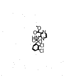 COC(=O)c1nccnc1NS(=O)(=O)c1cccc(Cl)c1Cl